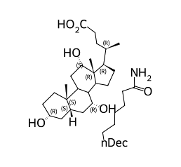 CCCCCCCCCCCCCCCC(N)=O.C[C@H](CCC(=O)O)[C@H]1CCC2C3C(C[C@H](O)[C@@]21C)[C@@]1(C)CC[C@@H](O)C[C@H]1C[C@H]3O